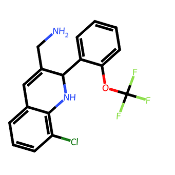 NCC1=Cc2cccc(Cl)c2NC1c1ccccc1OC(F)(F)F